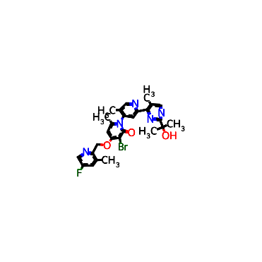 Cc1cnc(-c2nc(C(C)(C)O)ncc2C)cc1-n1c(C)cc(OCc2ncc(F)cc2C)c(Br)c1=O